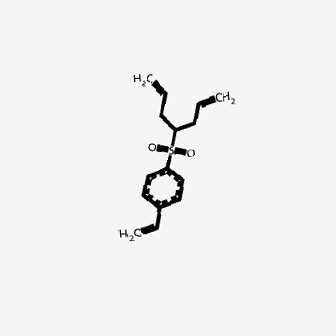 C=CCC(CC=C)S(=O)(=O)c1ccc(C=C)cc1